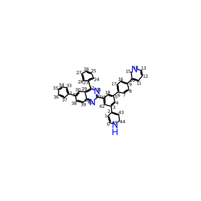 C1=CC(c2cc(-c3ccc(-c4cccnc4)cc3)cc(-c3nc(-c4ccccc4)c4cc(-c5ccccc5)ccc4n3)c2)=CCN1